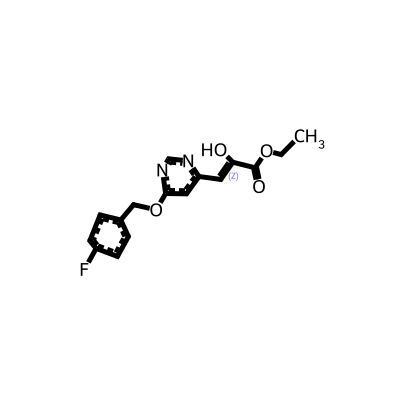 CCOC(=O)/C(O)=C/c1cc(OCc2ccc(F)cc2)ncn1